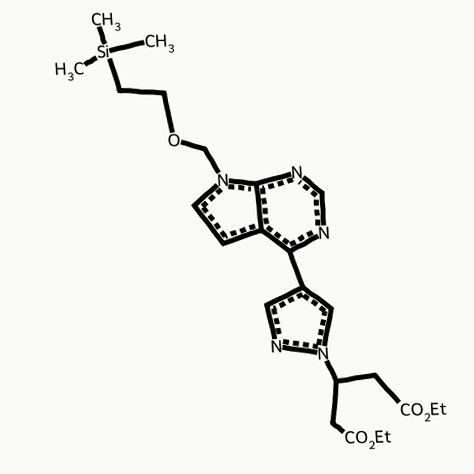 CCOC(=O)CC(CC(=O)OCC)n1cc(-c2ncnc3c2ccn3COCC[Si](C)(C)C)cn1